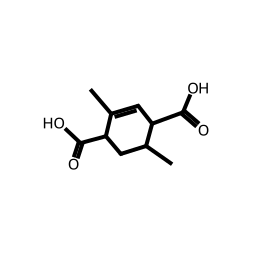 CC1=CC(C(=O)O)C(C)CC1C(=O)O